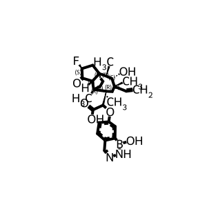 C=C[C@]1(C)C[C@@H](C(Oc2ccc3c(c2)B(O)NN=C3)C(=O)O)[C@@]2(C)[C@H](C)CC[C@]3(C[C@H](F)C(=O)[C@H]32)[C@@H](C)[C@@H]1O